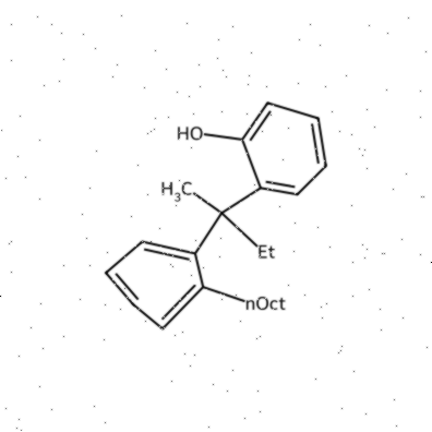 CCCCCCCCc1ccccc1C(C)(CC)c1ccccc1O